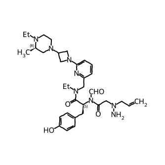 C=CCN(N)CC(=O)N(C=O)[C@@H](Cc1ccc(O)cc1)C(=O)N(CC)Cc1cccc(N2CC(N3CCN(CC)[C@H](C)C3)C2)n1